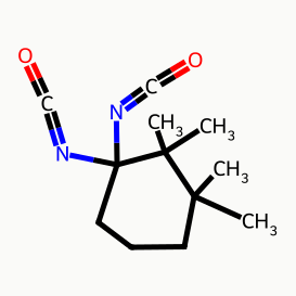 CC1(C)CCCC(N=C=O)(N=C=O)C1(C)C